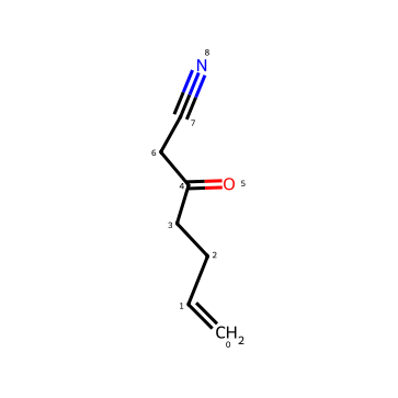 C=CCCC(=O)CC#N